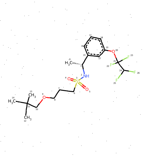 C[C@@H](NS(=O)(=O)CCCOCC(C)(C)C)c1cccc(OC(F)(F)C(F)F)c1